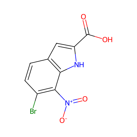 O=C(O)c1cc2ccc(Br)c([N+](=O)[O-])c2[nH]1